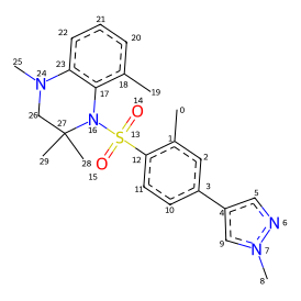 Cc1cc(-c2cnn(C)c2)ccc1S(=O)(=O)N1c2c(C)cccc2N(C)CC1(C)C